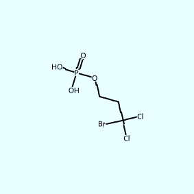 O=P(O)(O)OCCC(Cl)(Cl)Br